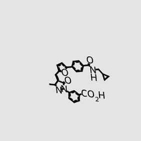 CC1=NN(c2cccc(C(=O)O)c2)C(=O)C1=Cc1ccc(-c2ccc(C(=O)NCC3CC3)cc2)o1